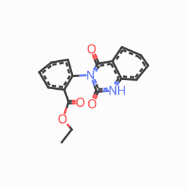 CCOC(=O)c1ccccc1-n1c(=O)[nH]c2ccccc2c1=O